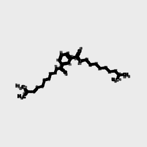 CC(C)CCCCCCCOC(=O)c1cncc(C(=O)OCCCCCCCC(C)C)c1